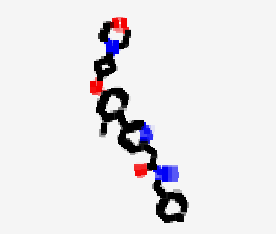 Cc1cc(OC2CC(N3CCOCC3)C2)ccc1-c1ccc(CC(=O)NCc2ccccc2)nc1